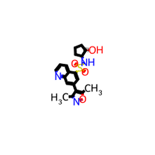 Cc1noc(C)c1-c1cc(S(=O)(=O)NC2CCC[C@H]2O)c2cccnc2c1